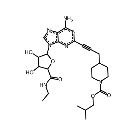 CCNC(=O)C1OC(n2cnc3c(N)nc(C#CCC4CCN(C(=O)OCC(C)C)CC4)nc32)C(O)C1O